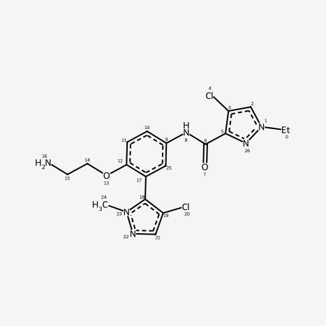 CCn1cc(Cl)c(C(=O)Nc2ccc(OCCN)c(-c3c(Cl)cnn3C)c2)n1